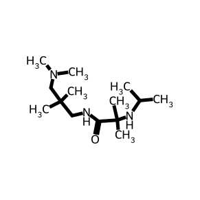 CC(C)NC(C)(C)C(=O)NCC(C)(C)CN(C)C